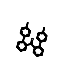 Cc1ccc(-c2ccccc2C(=O)c2ccccc2-c2ccc(C)cc2)cc1